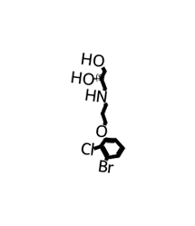 OC[C@@H](O)CNCCCOc1cccc(Br)c1Cl